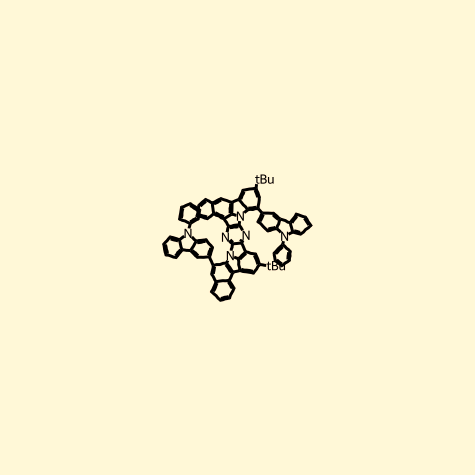 CC(C)(C)c1cc(-c2ccc3c(c2)c2ccccc2n3-c2ccccc2)c2c(c1)c1cc3ccccc3c3c4nc5c(nc4n2c13)c1cc(C(C)(C)C)cc2c3c4ccccc4cc(-c4ccc6c(c4)c4ccccc4n6-c4ccccc4)c3n5c12